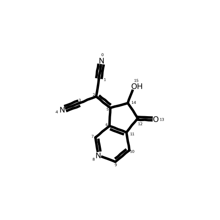 N#CC(C#N)=C1c2cnccc2C(=O)C1O